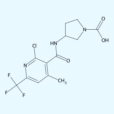 Cc1cc(C(F)(F)F)nc(Cl)c1C(=O)NC1CCN(C(=O)O)C1